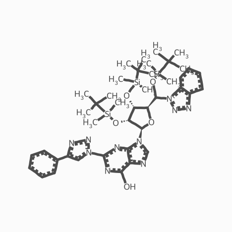 CC(C)(C)[Si](C)(C)OC([C@H]1O[C@@H](n2cnc3c(O)nc(-n4cc(-c5ccccc5)nn4)nc32)[C@H](O[Si](C)(C)C(C)(C)C)[C@@H]1O[Si](C)(C)C(C)(C)C)n1nnc2ccccc21